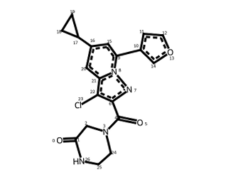 O=C1CN(C(=O)c2nn3c(-c4ccoc4)cc(C4CC4)cc3c2Cl)CCN1